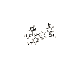 C=C(Nc1cc(C#N)ccc1N1CCC(c2cc(F)ccc2C)CC1)c1cscn1